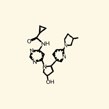 CC1CCN(c2ccc(C3CC(O)CN3c3cc(NC(=O)C4CC4)ncn3)cn2)C1